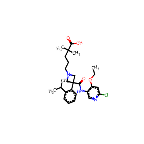 CCOc1cc(Cl)ncc1NC(=O)C1(c2ccccc2C(C)C)CN(CCCC(C)(C)C(=O)O)C1